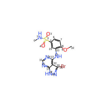 CNS(=O)(=O)c1ccc(OC)c(Nc2ncnc3[nH]nc(Br)c23)c1